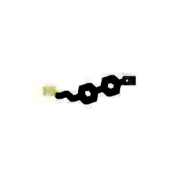 N#Cc1ccc(-c2ccc(CCCS)cc2)cc1